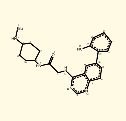 CC(C)(C)NC1CCC(NC(=O)CNc2ncnc3ccc(-c4ccccc4C#N)cc23)CC1